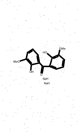 COc1cccc(C(=O)c2cccc(OC)c2O)c1O.[NaH].[NaH]